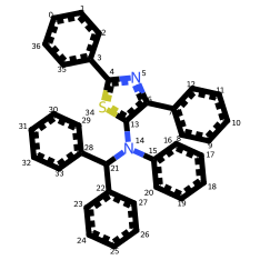 c1ccc(-c2nc(-c3ccccc3)c(N(c3ccccc3)C(c3ccccc3)c3ccccc3)s2)cc1